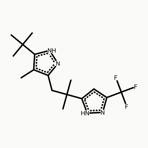 Cc1c(CC(C)(C)c2cc(C(F)(F)F)n[nH]2)n[nH]c1C(C)(C)C